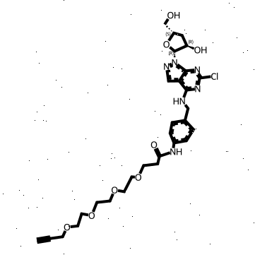 C#CCOCCOCCOCCOCCC(=O)Nc1ccc(CNc2nc(Cl)nc3c2cnn3[C@@H]2O[C@H](CO)C[C@H]2O)cc1